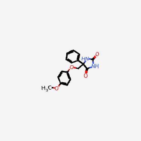 COc1ccc(OCC2(c3ccccc3)NC(=O)NC2=O)cc1